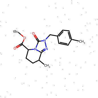 Cc1ccc(Cn2nc3n(c2=O)C(C(=O)OC(C)(C)C)CCC3C)cc1